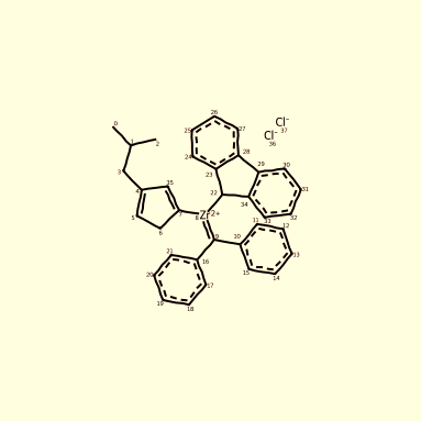 CC(C)CC1=CC[C]([Zr+2](=[C](c2ccccc2)c2ccccc2)[CH]2c3ccccc3-c3ccccc32)=C1.[Cl-].[Cl-]